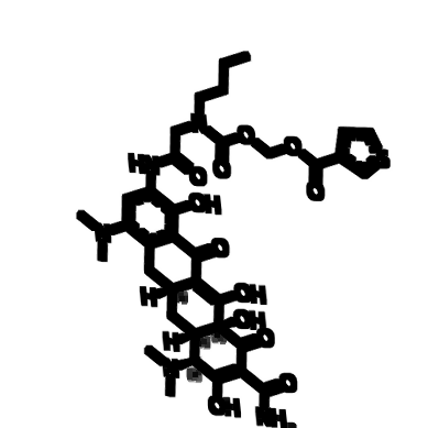 CCCCN(CC(=O)Nc1cc(N(C)C)c2c(c1O)C(=O)C1=C(O)[C@]3(O)C(=O)C(C(N)=O)=C(O)[C@@H](N(C)C)[C@@H]3C[C@@H]1C2)C(=O)OCOC(=O)c1ccsc1